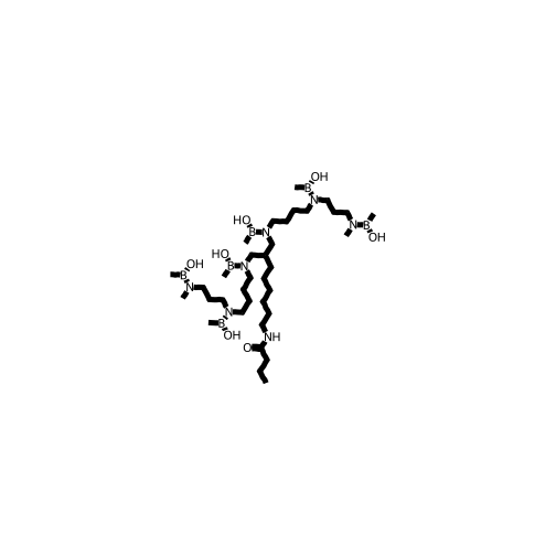 CCCC(=O)NCCCCCCC(CN(CCCCN(CCCN(C)B(C)O)B(C)O)B(C)O)CN(CCCCN(CCCN(C)B(C)O)B(C)O)B(C)O